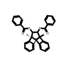 O=C(OC1C(OC(=O)c2ccccc2)[C@]2(I)c3ccccc3[C@@]23c2ccccc2C13I)c1ccccc1